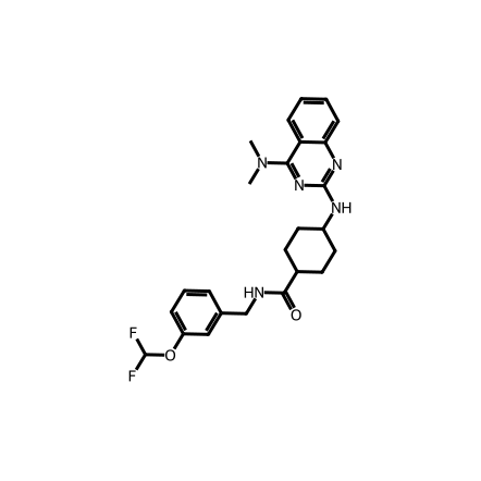 CN(C)c1nc(NC2CCC(C(=O)NCc3cccc(OC(F)F)c3)CC2)nc2ccccc12